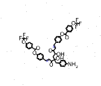 Nc1ccc(CC(O)(CC(O)C(=O)/C=C/c2ccc(OC(=O)c3ccc(OC(F)(F)F)cc3)cc2)C(=O)/C=C/c2ccc(OC(=O)c3ccc(OC(F)(F)F)cc3)cc2)cc1